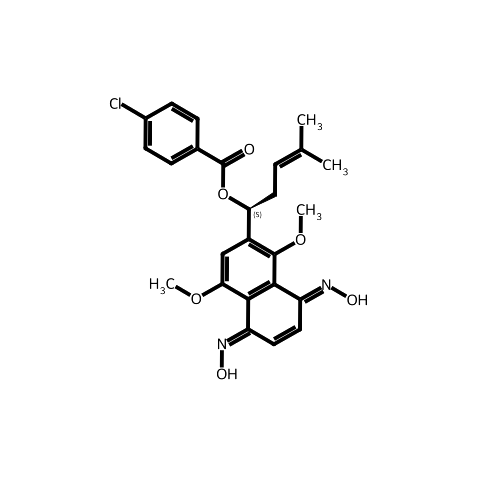 COc1cc([C@H](CC=C(C)C)OC(=O)c2ccc(Cl)cc2)c(OC)c2c1C(=NO)C=CC2=NO